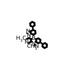 Cc1nc(C)c2c3c1-n1cnc4c(-c5ccccc5)ccc(c41)B3c1ccc(-c3ccccc3)c3ncn-2c13